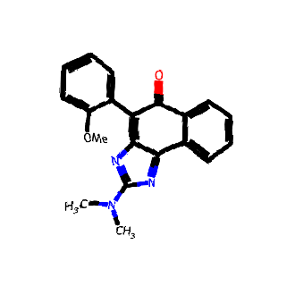 COc1ccccc1C1=C2N=C(N(C)C)N=C2c2ccccc2C1=O